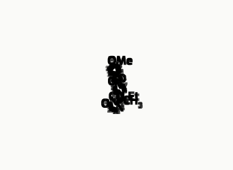 CCOC(=O)n1c(C(C)N2CCN(S(=O)(=O)c3ccc(OC)cc3)CC2)nccc1=O